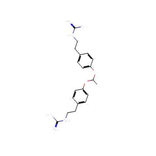 CCCC(Oc1ccc(CCNC(=N)N)cc1)Oc1ccc(CCNC(=N)N)cc1